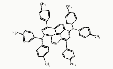 Cc1ccc(-c2cc(N(c3ccc(C)cc3)c3ccc(C)cc3)c3ccc4c(-c5ccc(C)cc5)cc(N(c5ccc(C)cc5)c5ccc(C)cc5)c5ccc2c3c45)cc1